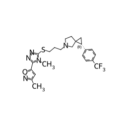 Cc1cc(-c2nnc(SCCCN3CCC4(C[C@@H]4c4ccc(C(F)(F)F)cc4)C3)n2C)on1